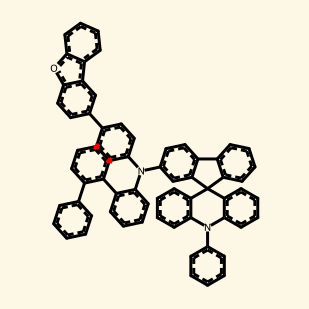 c1ccc(-c2ccccc2-c2ccccc2N(c2ccc(-c3ccc4oc5ccccc5c4c3)cc2)c2ccc3c(c2)C2(c4ccccc4-3)c3ccccc3N(c3ccccc3)c3ccccc32)cc1